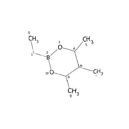 CCB1OC(C)C(C)C(C)O1